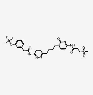 CS(=O)(=O)CCC(=O)Nc1ccn(CCCCc2ccc(NC(=O)Cc3cccc(OC(F)(F)F)c3)nn2)c(=O)n1